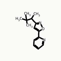 CC(c1cc(-c2ccccn2)on1)C(C)(C)C